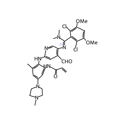 C=CC(=O)Nc1cc(N2CCN(C)CC2)cc(C)c1Nc1cc(C=O)c(/N=C(/c2c(Cl)c(OC)cc(OC)c2Cl)N(C)C)cn1